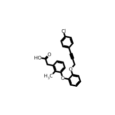 Cc1c(CC(=O)O)cccc1Oc1ccccc1OCC#Cc1ccc(Cl)cc1